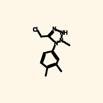 Cc1ccc(N2C(CCl)=NNN2C)cc1C